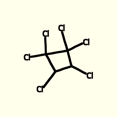 ClC1C(Cl)C(Cl)(Cl)C1(Cl)Cl